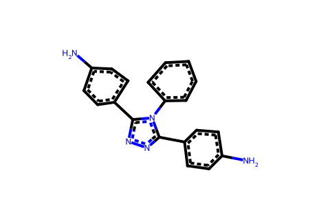 Nc1ccc(-c2nnc(-c3ccc(N)cc3)n2-c2ccccc2)cc1